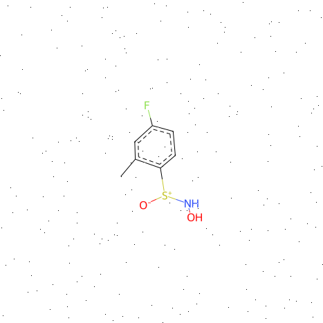 Cc1cc(F)ccc1[S+]([O-])NO